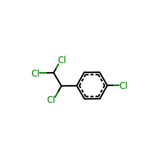 Clc1ccc(C(Cl)C(Cl)Cl)cc1